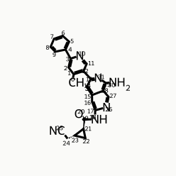 Cc1cc(-c2ccccc2)ncc1-c1cc2cc(NC(=O)[C@H]3C[C@@H]3CC#N)ncc2c(N)n1